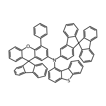 c1ccc(-c2cc(N(c3ccc4c(c3)-c3ccccc3C43c4ccccc4-c4ccccc43)c3cccc4sc5ccccc5c34)cc3c2Oc2ccccc2C32c3ccccc3-c3ccccc32)cc1